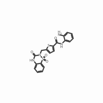 Nc1ccccc1NC(=O)c1ccc(CN2C(=O)Nc3ccccc3S2(=O)=O)s1